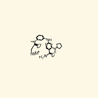 COCC(=O)N(C)c1cccc(Nc2ncc(C(N)=O)c(NC3CCCC3)n2)c1